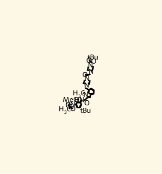 COc1c(NC(=O)c2cc3cccc(CN4CCN(C(=O)CN5CCN(C(=O)OC(C)(C)C)CC5)CC4)c3n2C)cc(C(C)(C)C)cc1NS(C)(=O)=O